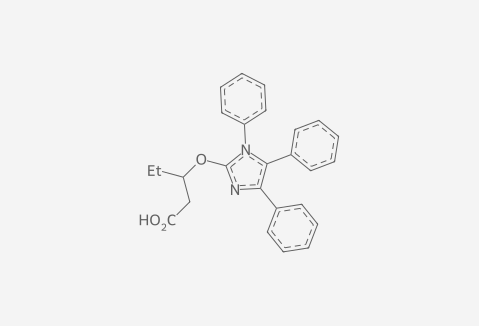 CCC(CC(=O)O)Oc1nc(-c2ccccc2)c(-c2ccccc2)n1-c1ccccc1